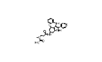 CN(CCC(=O)NC1CC(=O)c2c([nH]c(-c3ccncc3)c2Nc2ccccc2)C1)C(=O)O